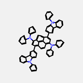 c1ccc(N(c2ccccc2)c2cc(-c3ccc4c(c3)c3ccccc3n4-c3ccccc3)c3ccc4c(N(c5ccccc5)c5ccccc5)cc(-c5ccc6c(c5)c5ccccc5n6-c5ccccc5)c5ccc2c3c54)cc1